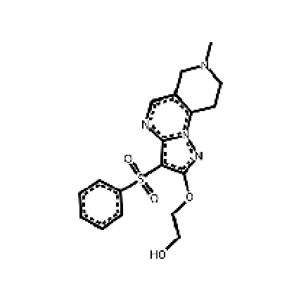 CN1CCc2c(cnc3c(S(=O)(=O)c4ccccc4)c(OCCO)nn23)C1